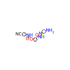 N#Cc1ccc(NC(=O)COc2cccc(C(=O)Nc3nc4c(s3)CC(N)CC4)c2)cc1